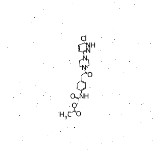 CC(=O)OCC(=O)Nc1ccc(CC(=O)N2CCN(C3=NNC(Cl)C=C3)CC2)cc1